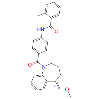 CO/C=C1\CCCN(C(=O)c2ccc(NC(=O)c3ccccc3C)cc2)c2ccccc21